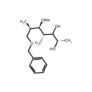 CO[C@H]([C@H](C)COCc1ccccc1)[C@@H](C)C(O)[C@H](C)O